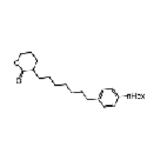 CCCCCCc1ccc(CCCCCCCC2CCCOC2=O)cc1